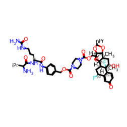 CCCC1O[C@@H]2C[C@H]3[C@@H]4C[C@H](F)C5=CC(=O)C=C[C@]5(C)[C@@]4(F)[C@@H](O)C[C@]3(C)[C@]2(C(=O)COC(=O)N2CCN(C(=O)OCc3ccc(NC(=O)[C@H](CCCNC(N)=O)NC(=O)C(N)C(C)C)cc3)CC2)O1